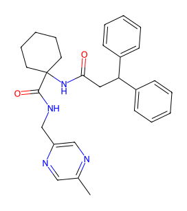 Cc1cnc(CNC(=O)C2(NC(=O)CC(c3ccccc3)c3ccccc3)CCCCC2)cn1